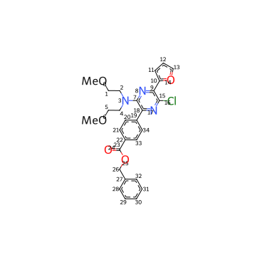 COCCN(CCOC)c1nc(-c2ccco2)c(Cl)nc1-c1ccc(C(=O)OCc2ccccc2)cc1